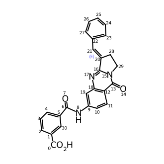 O=C(O)c1cccc(C(=O)Nc2ccc3c(=O)n4c(nc3c2)/C(=C/c2ccccc2)CC4)c1